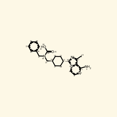 Nc1nccn2c1c(I)nc2[C@H]1CC[C@H](CN(Cc2ccccc2)C(=O)O)CC1